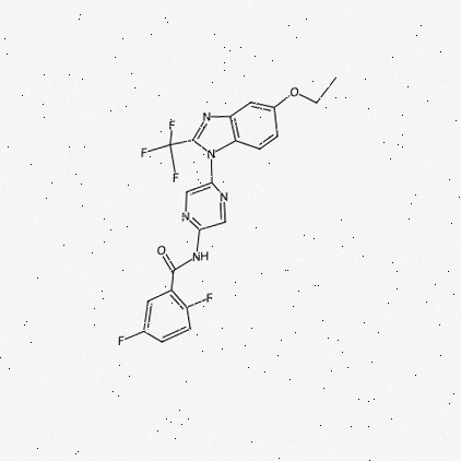 CCOc1ccc2c(c1)nc(C(F)(F)F)n2-c1cnc(NC(=O)c2cc(F)ccc2F)cn1